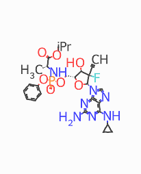 C#C[C@@]1(F)[C@H](O)[C@@H](CO[P@](=O)(N[C@H](C)C(=O)OC(C)C)Oc2ccccc2)O[C@H]1n1cnc2c(NC3CC3)nc(N)nc21